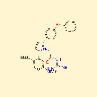 COc1ccc(OC)c(-c2ccc(-c3ccc(Oc4ccccc4)cc3)n2CC(=O)NC(=N)N)c1